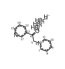 Br.Br.Br.O=C(C[n+]1ccccc1)c1cccnc1.[H-]